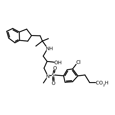 CN(CC(O)CNC(C)(C)CC1Cc2ccccc2C1)S(=O)(=O)c1ccc(CCC(=O)O)c(Cl)c1